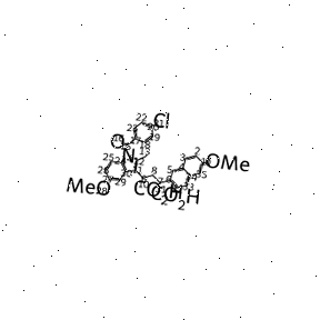 COc1ccc2cc(C(CC(C(=O)O)c3c(C)n(C(=O)c4ccc(Cl)cc4)c4ccc(OC)cc34)C(=O)O)ccc2c1